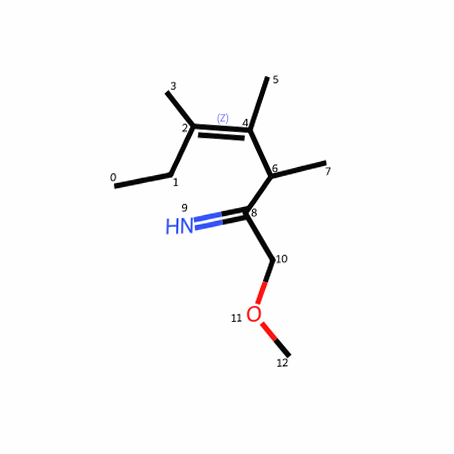 CC/C(C)=C(/C)C(C)C(=N)COC